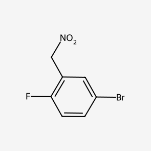 O=[N+]([O-])Cc1cc(Br)ccc1F